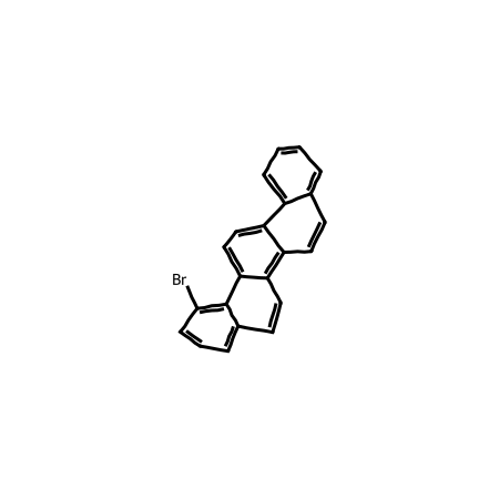 Brc1cccc2ccc3c4ccc5ccccc5c4ccc3c12